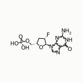 Nc1nc2c(ncn2[C@H]2O[C@H](COP(=O)(O)O)C[C@@H]2F)c(=O)[nH]1